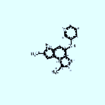 Cc1cc2c(cc(Nc3cccnc3)c3nnc(C)n32)[nH]1